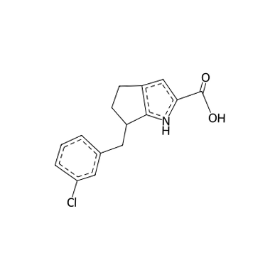 O=C(O)c1cc2c([nH]1)C(Cc1cccc(Cl)c1)CC2